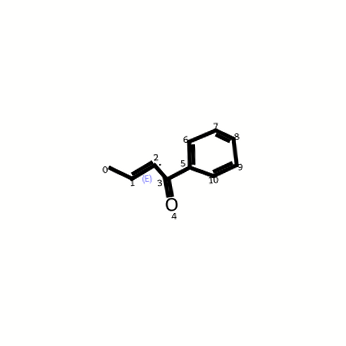 C/C=[C]/C(=O)c1ccccc1